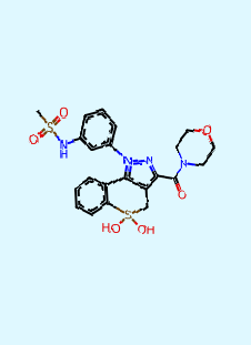 CS(=O)(=O)Nc1cccc(-n2nc(C(=O)N3CCOCC3)c3c2-c2ccccc2S(O)(O)C3)c1